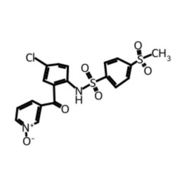 CS(=O)(=O)c1ccc(S(=O)(=O)Nc2ccc(Cl)cc2C(=O)c2ccc[n+]([O-])c2)cc1